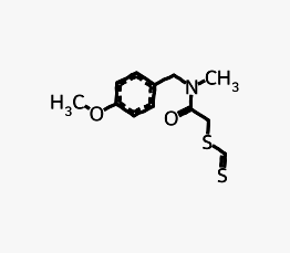 COc1ccc(CN(C)C(=O)CSC=S)cc1